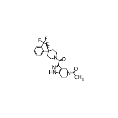 CC(=O)N1CCc2[nH]nc(C(=O)N3CCC(F)(c4ccccc4C(F)(F)F)CC3)c2C1